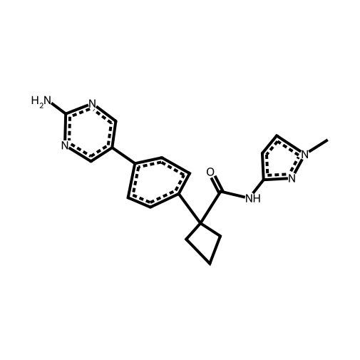 Cn1ccc(NC(=O)C2(c3ccc(-c4cnc(N)nc4)cc3)CCC2)n1